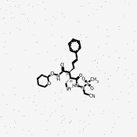 CC(C)C[C@@H](C(=O)NN(CC#N)S(C)(=O)=O)[C@H](CC=Cc1ccccc1)C(=O)NOC1CCCCO1